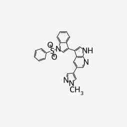 Cn1cc(-c2cnc3[nH]cc(-c4cn(S(=O)(=O)c5ccccc5)c5ccccc45)c3c2)cn1